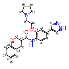 O=C(Nc1ccc(-c2cn[nH]c2)cc1OCCN1CCCC1)C1COc2ccc(F)cc2C1